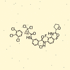 O=C(Nc1ccc(F)c(NC(=O)C2CCCO2)c1F)c1cc(NC(=O)[C@H]2[C@H](c3cc(Cl)c(Cl)c(Cl)c3)C2(Cl)Cl)ccc1Cl